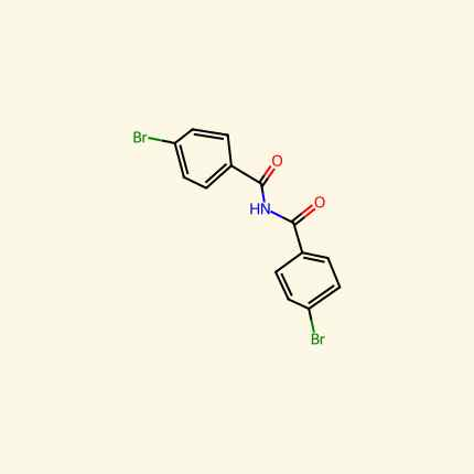 O=C(NC(=O)c1ccc(Br)cc1)c1ccc(Br)cc1